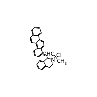 CC(Cl)(C=O)N1CCc2ccccc2C1Cc1cccc2c1ccc1c3ccccc3ccc21